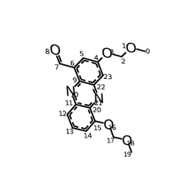 COCOc1cc(C=O)c2nc3cccc(OCOC)c3nc2c1